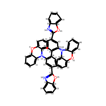 c1ccc2c(c1)Oc1ccccc1N2c1cc(-c2nc3ccccc3o2)ccc1-c1ccc(-c2nc3ccccc3o2)cc1N1c2ccccc2Oc2ccccc21